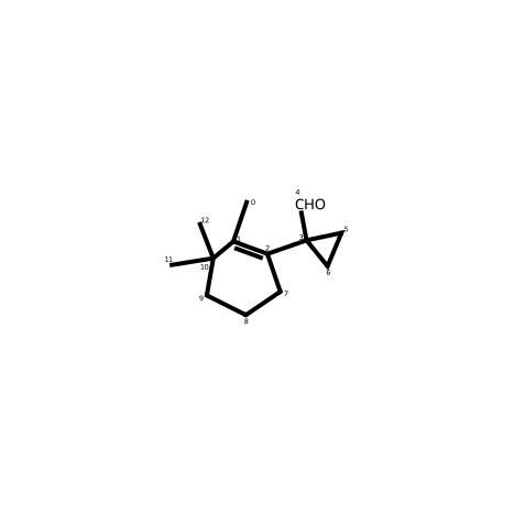 CC1=C(C2(C=O)CC2)CCCC1(C)C